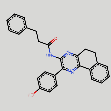 O=C(CCc1ccccc1)Nc1nc2c(nc1-c1ccc(O)cc1)-c1ccccc1CC2